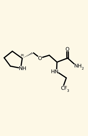 NC(=O)C(COC[C@H]1CCCN1)NCC(F)(F)F